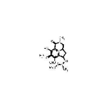 COSN(C)NC1CC2CN(C)C(=O)c3c(O)c(=O)c(C=O)c1n32.S